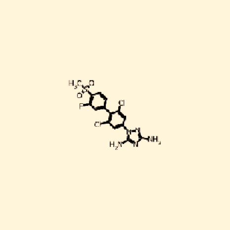 CS(=O)(=O)c1ccc(-c2c(Cl)cc(-n3nc(N)nc3N)cc2Cl)cc1F